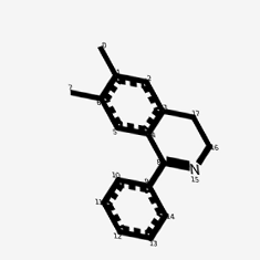 Cc1cc2c(cc1C)C(c1ccccc1)=NCC2